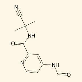 CC(C)(C#N)NC(=O)c1cc(NC=O)ccn1